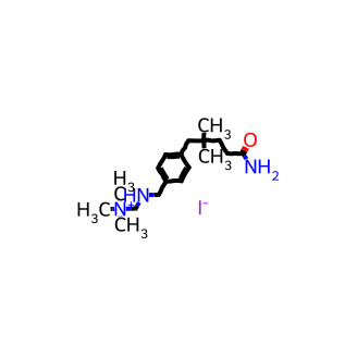 CC(C)(CCC(N)=O)Cc1ccc(CNC[N+](C)(C)C)cc1.[I-]